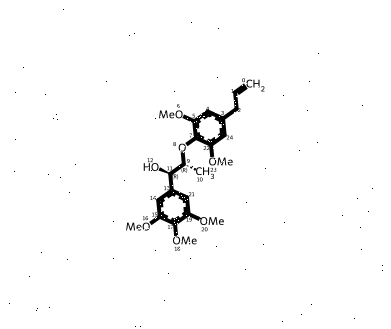 C=CCc1cc(OC)c(O[C@H](C)[C@H](O)c2cc(OC)c(OC)c(OC)c2)c(OC)c1